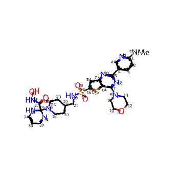 CNc1ccc(-c2nc(N3CCOCC3)c3sc(S(=O)(=O)NCC4CCN(C5(C(=O)NO)N=CC=CN5)CC4)cc3n2)cn1